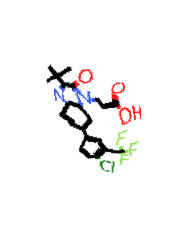 CC(C)(C)c1nc2ccc(-c3ccc(Cl)c(C(F)(F)F)c3)cc2n(CCC(=O)O)c1=O